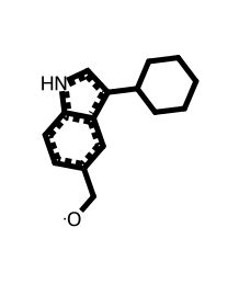 [O]Cc1ccc2[nH]cc(C3CCCCC3)c2c1